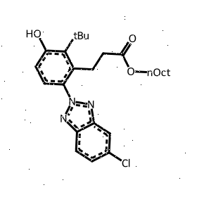 CCCCCCCCOC(=O)CCc1c(-n2nc3ccc(Cl)cc3n2)ccc(O)c1C(C)(C)C